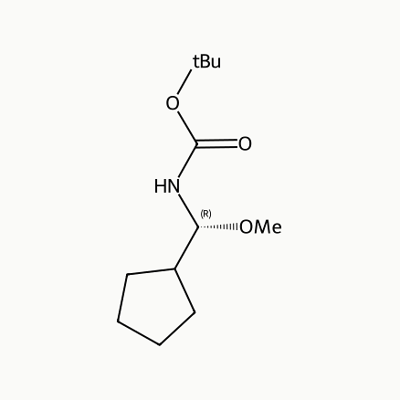 CO[C@@H](NC(=O)OC(C)(C)C)C1CCCC1